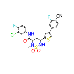 CN1[C@@H](C(=O)Nc2ccc(F)c(Cl)c2)C[C@@H](c2cc(-c3ccc(C#N)c(F)c3)cs2)NS1(=O)=O